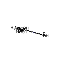 Nc1ccn([C@@H]2O[C@H](N(O)CCCCCCCC/C=C/CCCCCCCC(=O)O)[C@@H](O)[C@H]2O)c(=O)n1